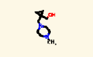 CN1CCN(CC2(CO)CC2)CC1